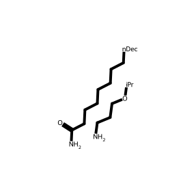 CC(C)OCCCN.CCCCCCCCCCCCCCCCCC(N)=O